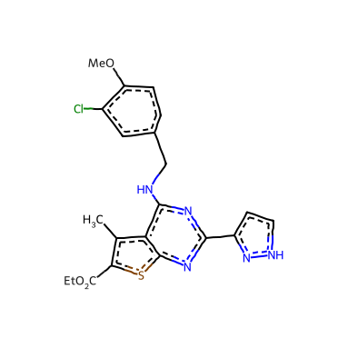 CCOC(=O)c1sc2nc(-c3cc[nH]n3)nc(NCc3ccc(OC)c(Cl)c3)c2c1C